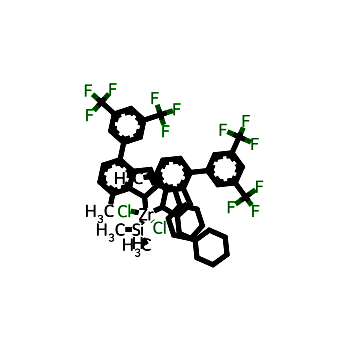 Cc1ccc(-c2cc(C(F)(F)F)cc(C(F)(F)F)c2)c2c1[CH]([Zr]([Cl])([Cl])([CH]1C(CC3CCCCC3)=Cc3c(-c4cc(C(F)(F)F)cc(C(F)(F)F)c4)ccc(C)c31)[SiH](C)C)C(CC1CCCCC1)=C2